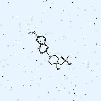 COc1ccc2nc(N3CCC(O)(CS(C)(=N)=O)CC3)cnc2c1